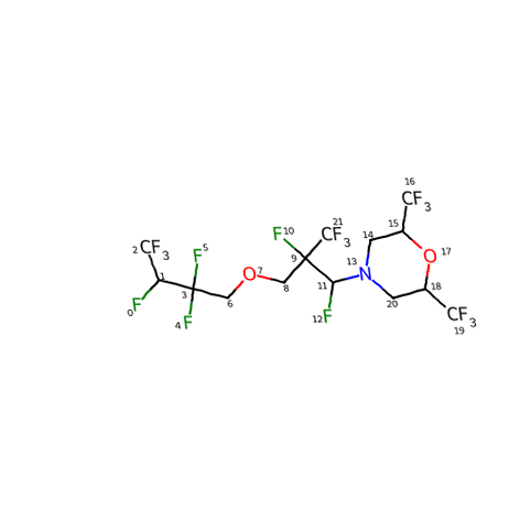 FC(C(F)(F)F)C(F)(F)COCC(F)(C(F)N1CC(C(F)(F)F)OC(C(F)(F)F)C1)C(F)(F)F